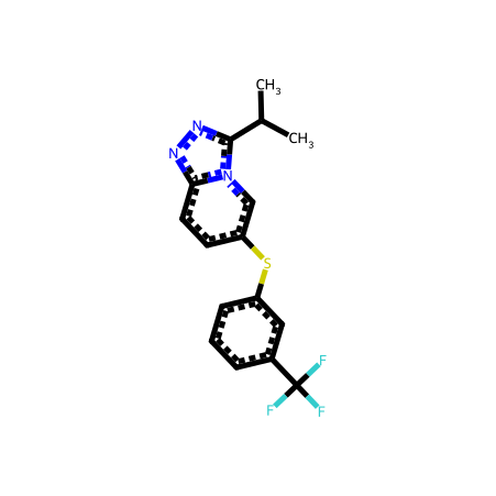 CC(C)c1nnc2ccc(Sc3cccc(C(F)(F)F)c3)cn12